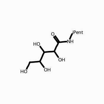 CCCC(C)NC(=O)C(O)C(O)C(O)CO